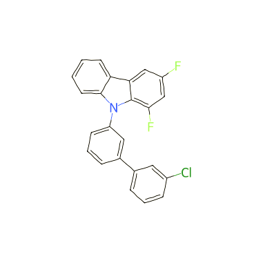 Fc1cc(F)c2c(c1)c1ccccc1n2-c1cccc(-c2cccc(Cl)c2)c1